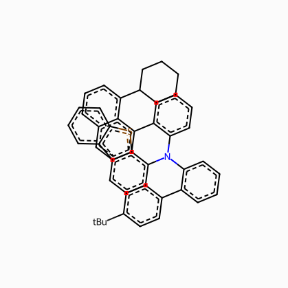 CC(C)(C)c1ccc(-c2ccccc2N(c2ccccc2-c2cccc3cccc(C4CCCCC4)c23)c2cccc3c2sc2ccccc23)cc1